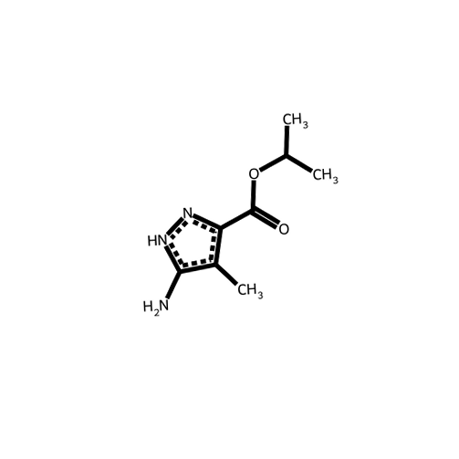 Cc1c(C(=O)OC(C)C)n[nH]c1N